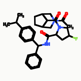 CC(=O)N1CC2CCC(C1)C2C(=O)N1CC(F)CC1C(=O)NC(c1ccccc1)c1ccc(C(C)C)cc1